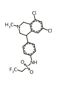 CN1Cc2c(Cl)cc(Cl)cc2C(c2ccc(NS(=O)(=O)CC(F)(F)F)cc2)C1